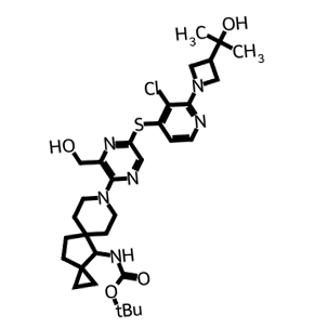 CC(C)(C)OC(=O)NC1C2(CCN(c3ncc(Sc4ccnc(N5CC(C(C)(C)O)C5)c4Cl)nc3CO)CC2)CCC12CC2